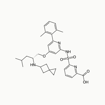 Cc1cccc(C)c1-c1cc(OC[C@@H](CC(C)C)NC2CC3(CC3)C2)cc(NS(=O)(=O)c2cccc(C(=O)O)n2)n1